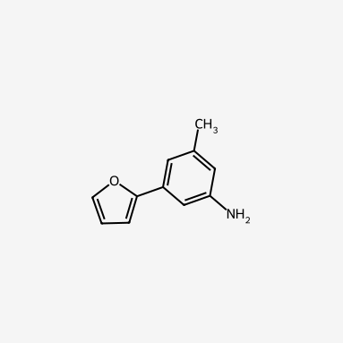 Cc1cc(N)cc(-c2ccco2)c1